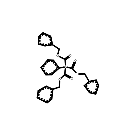 O=C(OCc1ccccc1)S(C(=O)OCc1ccccc1)(C(=O)OCc1ccccc1)c1ccccc1